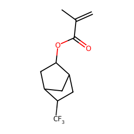 C=C(C)C(=O)OC1CC2CC1CC2C(F)(F)F